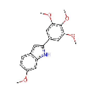 COc1ccc2cc(-c3cc(OC)c(OC)c(OC)c3)[nH]c2c1